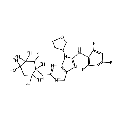 [2H]C1C([2H])([2H])C([2H])(O)CC([2H])([2H])C1([2H])Nc1ncc2nc(Nc3c(F)cc(F)cc3F)n(C3CCOC3)c2n1